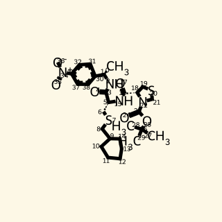 C[C@@H](NC(=O)[C@@H](CSCC1CCCCC1)NC(=O)[C@@H]1CSCN1C(=O)OC(C)(C)C)c1ccc([N+](=O)[O-])cc1